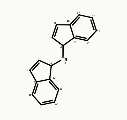 C1=C[CH]([Ta][CH]2C=Cc3ccccc32)c2ccccc21